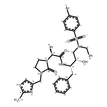 CC(=O)c1ccc(S(=O)(=O)N(CC(C)C)C[C@H](O)[C@H](Cc2ccccc2)NC(=O)[C@H](C(C)C)N2CCN(Cc3csc(C)n3)C2=O)cc1